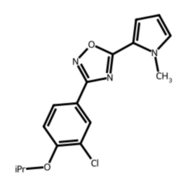 CC(C)Oc1ccc(-c2noc(-c3cccn3C)n2)cc1Cl